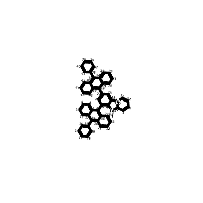 C1=CC2Nc3c(-c4c5ccccc5c(-c5ccccc5)c5ccccc45)cc(-c4c5ccccc5c(-c5ccccc5)c5ccccc45)cc3N2C=C1